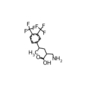 CC(CC(CN)C(=O)O)c1ccc(C(F)(F)F)c(C(F)(F)F)c1